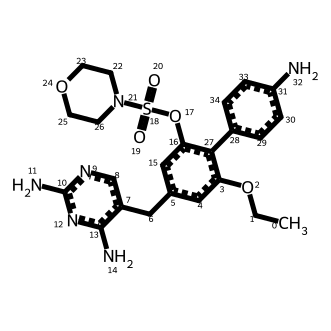 CCOc1cc(Cc2cnc(N)nc2N)cc(OS(=O)(=O)N2CCOCC2)c1-c1ccc(N)cc1